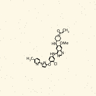 C=CC(=O)N1CCC(Nc2cc3c(Nc4ccc(Oc5ccn(-c6ccc(C)cn6)n5)c(Cl)c4)ncnc3cc2OC)CC1